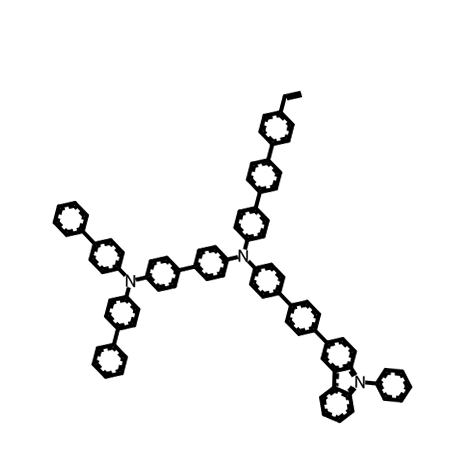 C=Cc1ccc(-c2ccc(-c3ccc(N(c4ccc(-c5ccc(-c6ccc7c(c6)c6ccccc6n7-c6ccccc6)cc5)cc4)c4ccc(-c5ccc(N(c6ccc(-c7ccccc7)cc6)c6ccc(-c7ccccc7)cc6)cc5)cc4)cc3)cc2)cc1